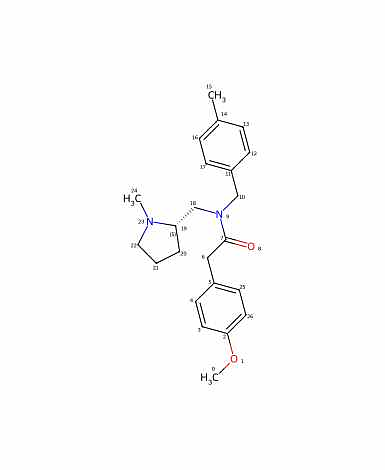 COc1ccc(CC(=O)N(Cc2ccc(C)cc2)C[C@@H]2CCCN2C)cc1